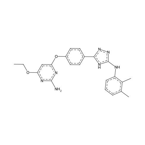 CCOc1cc(Oc2ccc(-c3nnc(Nc4cccc(C)c4C)[nH]3)cc2)nc(N)n1